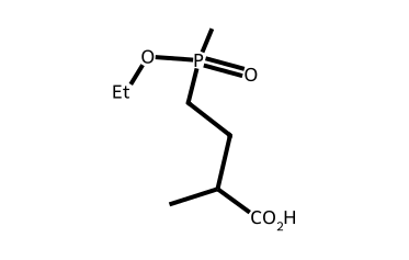 CCOP(C)(=O)CCC(C)C(=O)O